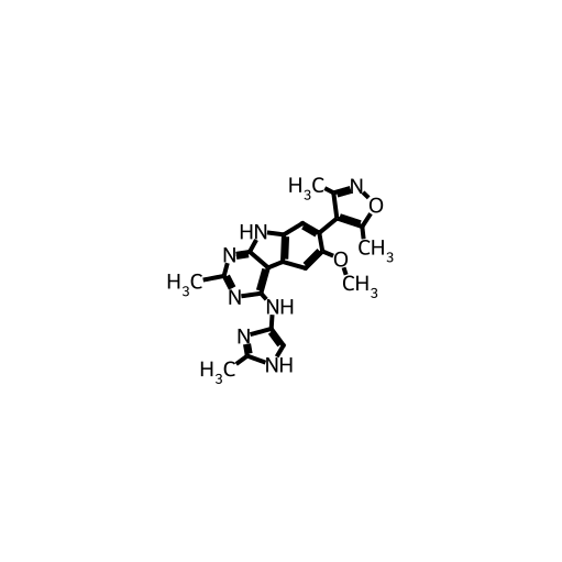 COc1cc2c(cc1-c1c(C)noc1C)[nH]c1nc(C)nc(Nc3c[nH]c(C)n3)c12